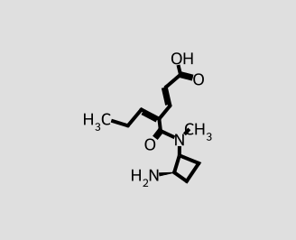 CC/C=C(/C=C/C(=O)O)C(=O)N(C)C1CC[C@H]1N